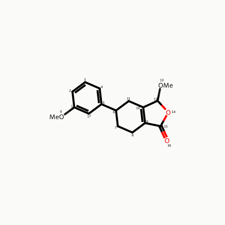 COc1cccc(C2CCC3=C(C2)C(OC)OC3=O)c1